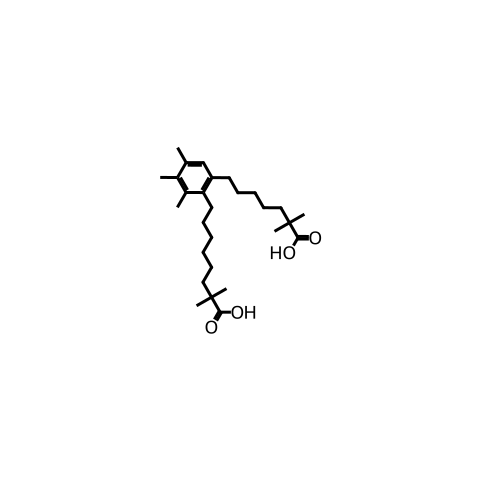 Cc1cc(CCCCCC(C)(C)C(=O)O)c(CCCCCCC(C)(C)C(=O)O)c(C)c1C